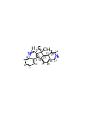 CC1(C)c2cnc3ccccc3c2-c2ccc3cnccc3c21